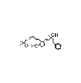 COC(=O)CC/C=C\CCC1[C@@H](O)CC[C@@H]1/C=C/[C@](C)(O)CCc1ccccc1